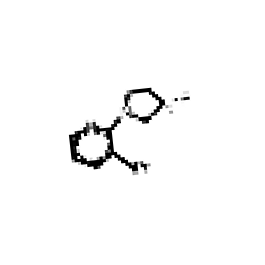 CC(C)c1cccnc1N1CC[C@H](F)C1